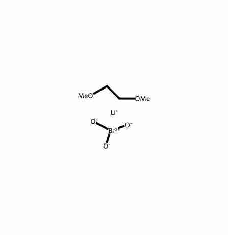 COCCOC.[Li+].[O-][Br+2]([O-])[O-]